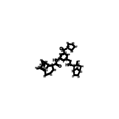 C/C1=C(/C(=O)Nc2cc(CNC3C(C)CC4CCC3C4)cc(C(=O)N3CCCC3)c2)CCC/C=C(\C)C2CC12C